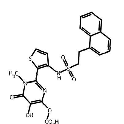 Cn1c(-c2sccc2NS(=O)(=O)CCc2cccc3ccccc23)nc(OC(=O)O)c(O)c1=O